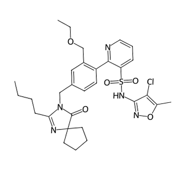 CCCCC1=NC2(CCCC2)C(=O)N1Cc1ccc(-c2ncccc2S(=O)(=O)Nc2noc(C)c2Cl)c(COCC)c1